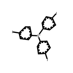 Ic1ccc([S+](c2ccc(I)cc2)c2ccc(I)cc2)cc1